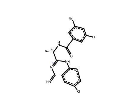 C[C@H](NC(=O)c1cc(Cl)cc(Br)c1)/C(=N/C=N)Nc1ccc(Cl)cn1